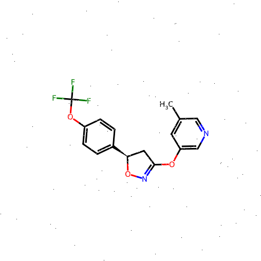 Cc1cncc(OC2=NO[C@@H](c3ccc(OC(F)(F)F)cc3)C2)c1